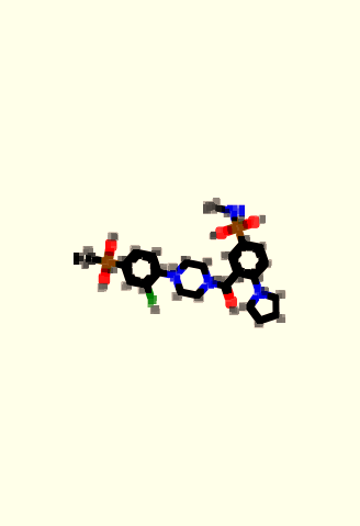 CC(C)NS(=O)(=O)c1ccc(N2CCCC2)c(C(=O)N2CCN(c3ccc(S(C)(=O)=O)cc3F)CC2)c1